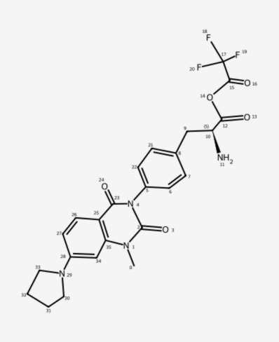 Cn1c(=O)n(-c2ccc(C[C@H](N)C(=O)OC(=O)C(F)(F)F)cc2)c(=O)c2ccc(N3CCCC3)cc21